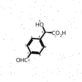 O=Cc1ccc([C@@H](O)C(=O)O)cc1